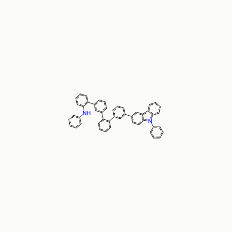 c1ccc(Nc2ccccc2-c2cccc(-c3ccccc3-c3cccc(-c4ccc5c(c4)c4ccccc4n5-c4ccccc4)c3)c2)cc1